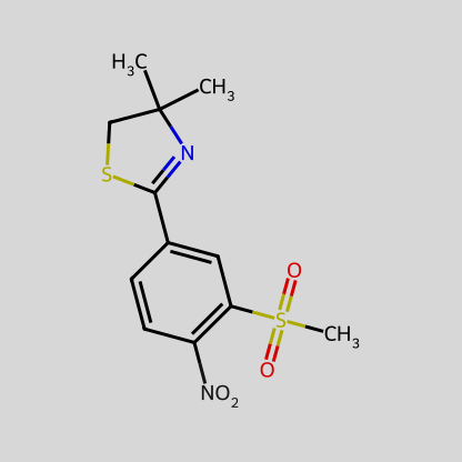 CC1(C)CSC(c2ccc([N+](=O)[O-])c(S(C)(=O)=O)c2)=N1